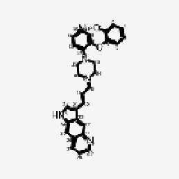 COc1ccccc1Oc1ccccc1N1CCN(CCCc2c[nH]c3cc4cccnc4cc23)CC1